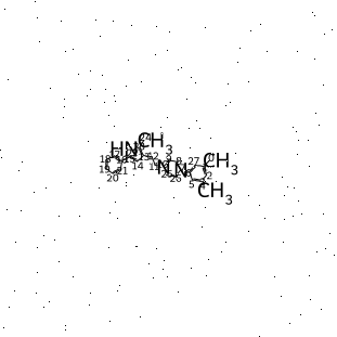 Cc1cc(C)cc(N2CCN(CCc3cc(-c4ccccc4)[nH]c3C)CC2)c1